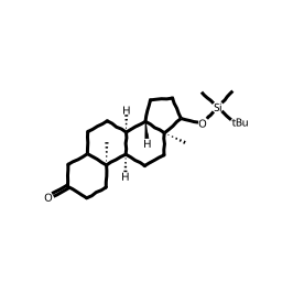 CC(C)(C)[Si](C)(C)OC1CC[C@H]2[C@@H]3CCC4CC(=O)CC[C@]4(C)[C@@H]3CC[C@]12C